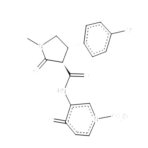 CCOC(=O)n1ccc(=O)c(NC(=O)[C@H]2C(=O)N(C)C[C@@H]2c2ccc(C(F)(F)F)cc2)c1